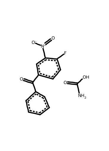 NC(=O)O.O=C(c1ccccc1)c1ccc(F)c([N+](=O)[O-])c1